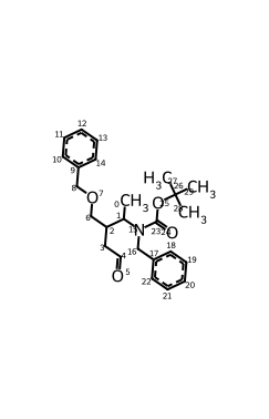 CC(C(CC=O)COCc1ccccc1)N(Cc1ccccc1)C(=O)OC(C)(C)C